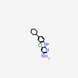 CN(c1ccc(N)cn1)c1ccc(C2CCCCC2)cc1Cl